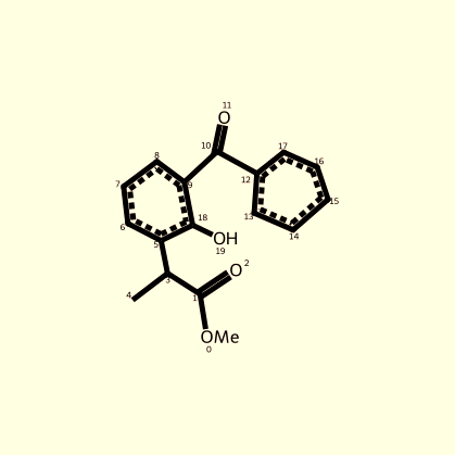 COC(=O)C(C)c1cccc(C(=O)c2ccccc2)c1O